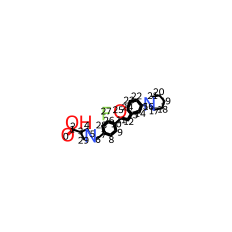 O=C(O)C1CN(Cc2ccc(-c3cc4cc(N5CCCCC5)ccc4o3)c(F)c2)C1